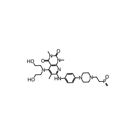 C=P(=O)CCN1CCN(c2ccc(Nc3nc4c(c(N(CCO)CCO)c3C)c(=O)n(C)c(=O)n4C)cc2)CC1